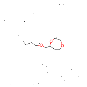 CCCCOCC1CCOCCO1